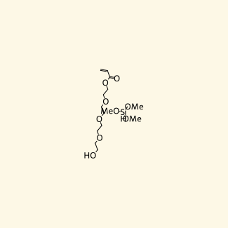 C=CC(=O)OCCOCCOCCOCCO.CO[SiH](OC)OC